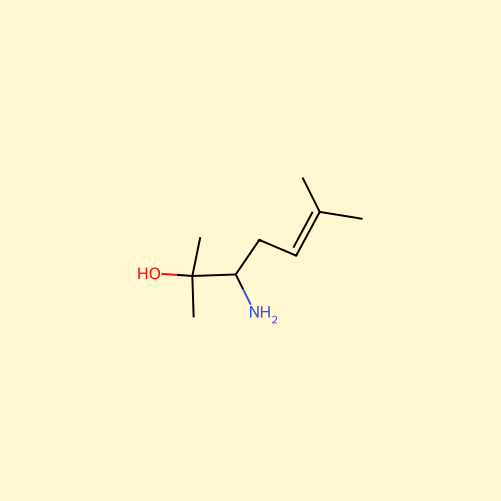 CC(C)=CCC(N)C(C)(C)O